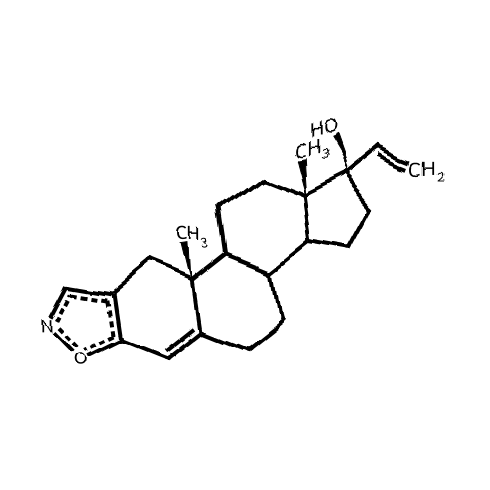 C=C[C@]1(O)CCC2C3CCC4=Cc5oncc5C[C@]4(C)C3CC[C@@]21C